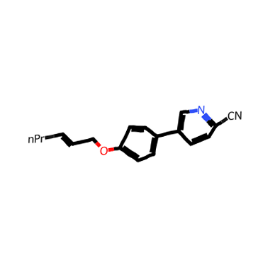 CCCC=CCOc1ccc(-c2ccc(C#N)nc2)cc1